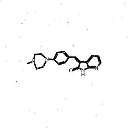 CN1CCN(c2ccc(/C=C3\C(=O)Nc4ncccc43)cc2)CC1